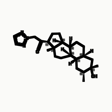 C[C@@H]1C[C@H]2[C@@H](CC[C@@H]3[C@@H]2CC[C@]2(C)[C@@H](C(=O)Cn4nccn4)CC[C@@H]32)C[C@]1(C)O